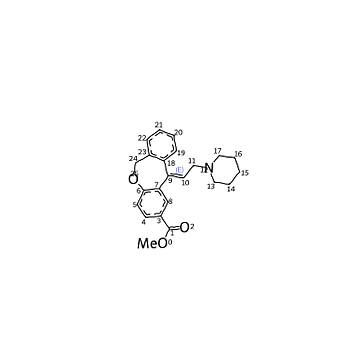 COC(=O)c1ccc2c(c1)/C(=C/CN1CCCCC1)c1ccccc1CO2